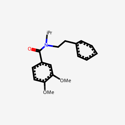 COc1ccc(C(=O)N(CCc2ccccc2)C(C)C)cc1OC